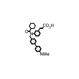 CNc1ccc(-c2ccc(CN(C(=O)C3CCCCC3)c3cccc(C=CC(=O)O)c3)cc2)cc1